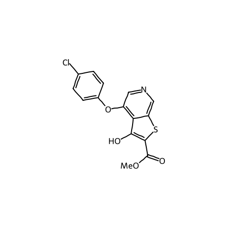 COC(=O)c1sc2cncc(Oc3ccc(Cl)cc3)c2c1O